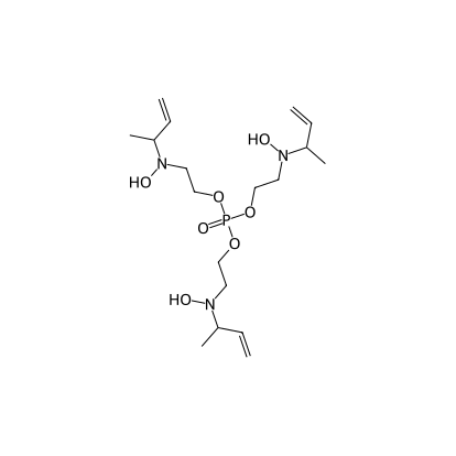 C=CC(C)N(O)CCOP(=O)(OCCN(O)C(C)C=C)OCCN(O)C(C)C=C